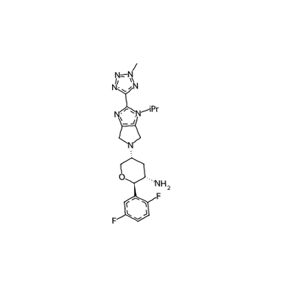 CC(C)n1c(-c2nnn(C)n2)nc2c1CN([C@H]1CO[C@H](c3cc(F)ccc3F)[C@@H](N)C1)C2